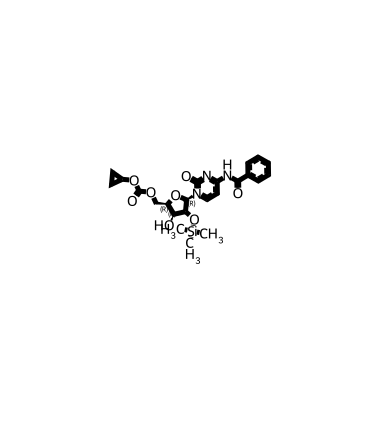 C[Si](C)(C)OC1[C@H](n2ccc(NC(=O)c3ccccc3)nc2=O)O[C@H](COC(=O)OC2CC2)[C@H]1O